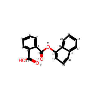 O=C(O)c1ccccc1C(=O)Oc1cccc2ccccc12